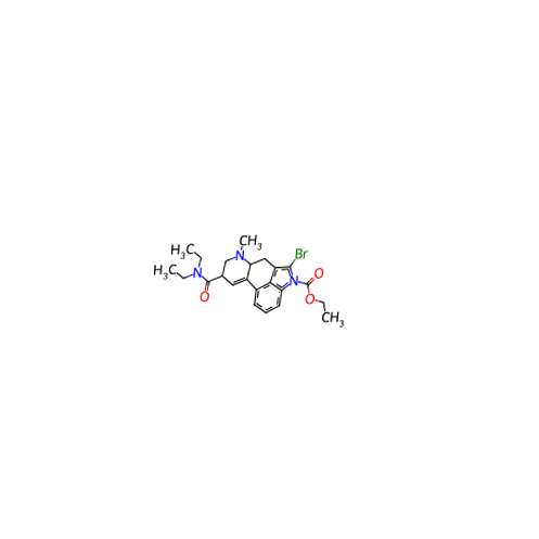 CCOC(=O)n1c(Br)c2c3c(cccc31)C1=CC(C(=O)N(CC)CC)CN(C)C1C2